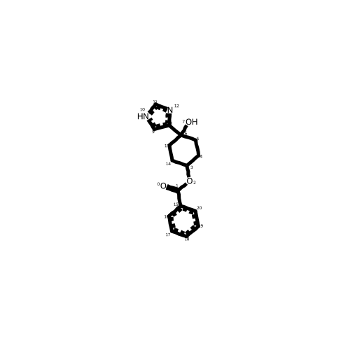 O=C(OC1CCC(O)(c2c[nH]cn2)CC1)c1ccccc1